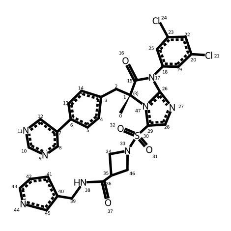 C[C@@]1(Cc2ccc(-c3cncnc3)cc2)C(=O)N(c2cc(Cl)cc(Cl)c2)c2ncc(S(=O)(=O)N3CC(C(=O)NCc4cccnc4)C3)n21